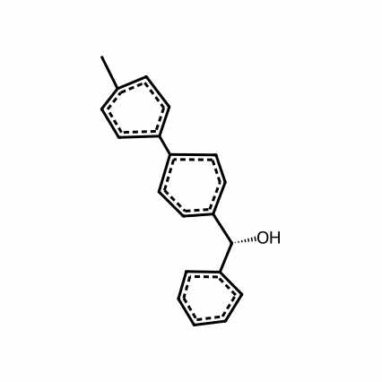 Cc1ccc(-c2ccc([C@H](O)c3ccccc3)cc2)cc1